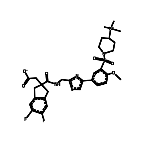 COc1ccc(-c2csc(CNC(=O)C3(CC(=O)[O-])Cc4cc(F)c(F)cc4C3)n2)cc1S(=O)(=O)N1CCC([N+](C)(C)C)CC1